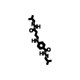 CC(C)/C=N/NC(=O)CCCNc1ccc(C(=O)N/N=C/C(C)C)cc1